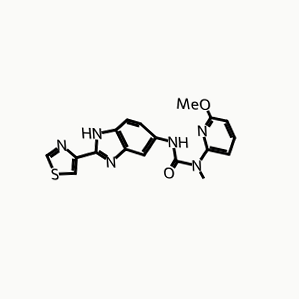 COc1cccc(N(C)C(=O)Nc2ccc3[nH]c(-c4cscn4)nc3c2)n1